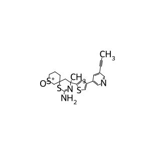 CC#Cc1cncc(-c2csc(C3(C)CC4(CCC[S+]([O-])C4)SC(N)=N3)c2)c1